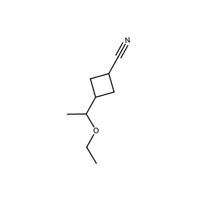 CCOC(C)C1CC(C#N)C1